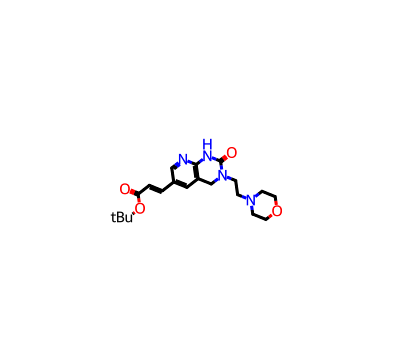 CC(C)(C)OC(=O)C=Cc1cnc2c(c1)CN(CCN1CCOCC1)C(=O)N2